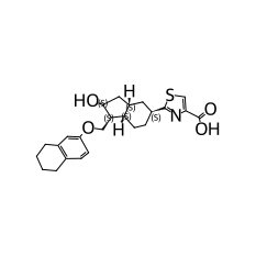 O=C(O)c1csc([C@H]2CC[C@H]3[C@@H](C2)C[C@H](O)[C@@H]3COc2ccc3c(c2)CCCC3)n1